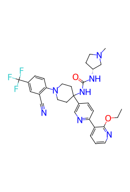 CCOc1ncccc1-c1ccc(C2(NC(=O)N[C@@H]3CCN(C)C3)CCN(c3ccc(C(F)(F)F)cc3C#N)CC2)cn1